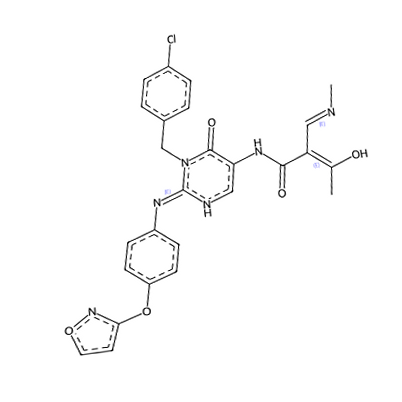 C/N=C/C(C(=O)Nc1c[nH]/c(=N\c2ccc(Oc3ccon3)cc2)n(Cc2ccc(Cl)cc2)c1=O)=C(/C)O